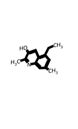 CCc1cc(C)cc2nc(C)c(O)cc12